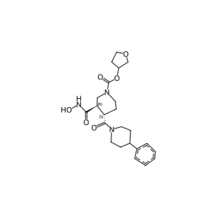 O=C(NO)[C@H]1CN(C(=O)OC2CCOC2)CC[C@@H]1C(=O)N1CCC(c2ccccc2)CC1